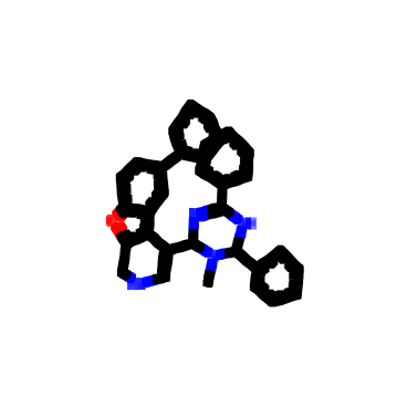 CN1C(C2=CNCc3oc4ccc(-c5ccccc5)cc4c32)N=C(c2ccccc2)NC1c1ccccc1